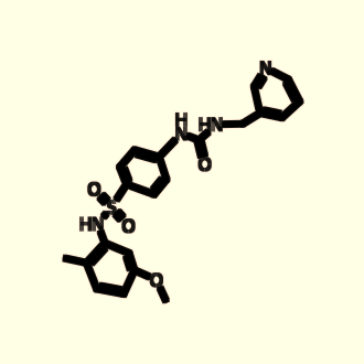 COc1ccc(C)c(NS(=O)(=O)c2ccc(NC(=O)NCc3cccnc3)cc2)c1